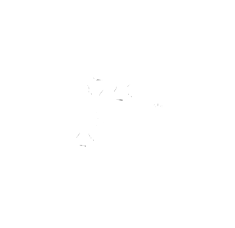 COCCn1ccc(-c2cnc(C)nc2OC[C@H]2C[C@@H]2c2ccc(C)cn2)cc1=O